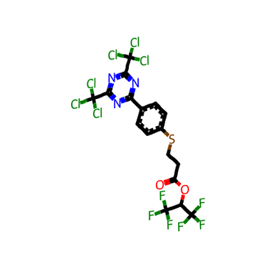 O=C(CCSc1ccc(-c2nc(C(Cl)(Cl)Cl)nc(C(Cl)(Cl)Cl)n2)cc1)OC(C(F)(F)F)C(F)(F)F